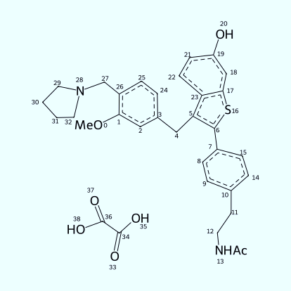 COc1cc(Cc2c(-c3ccc(CCNC(C)=O)cc3)sc3cc(O)ccc23)ccc1CN1CCCC1.O=C(O)C(=O)O